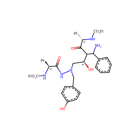 CCOC(=O)N[C@H](C(=O)NN(Cc1ccc(O)cc1)C[C@H](O)C(C(=O)[C@@H](NC(=O)OCC)C(C)C)C(N)c1ccccc1)C(C)C